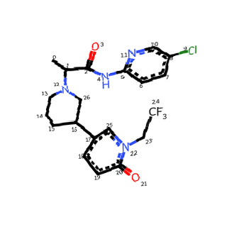 CC(C(=O)Nc1ccc(Cl)cn1)N1CCCC(c2ccc(=O)n(CC(F)(F)F)c2)C1